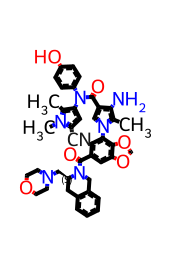 Cc1c(N)c(C(=O)N(c2ccc(O)cc2)c2cc(C#N)n(C)c2C)cn1-c1cc(C(=O)N2Cc3ccccc3C[C@H]2CN2CCOCC2)cc2c1OCO2